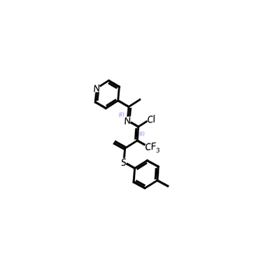 C=C(Sc1ccc(C)cc1)/C(=C(Cl)\N=C(/C)c1ccncc1)C(F)(F)F